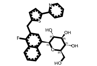 OC[C@H]1O[C@@H](c2cc(Cc3ccc(-c4ccccn4)s3)c(F)c3ccccc23)[C@H](O)[C@@H](O)[C@@H]1O